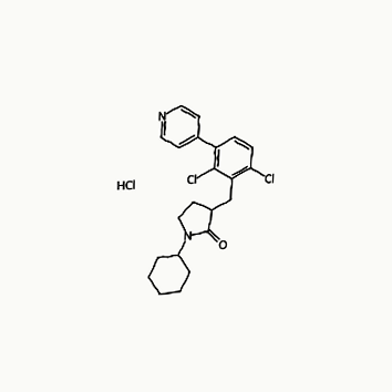 Cl.O=C1C(Cc2c(Cl)ccc(-c3ccncc3)c2Cl)CCN1C1CCCCC1